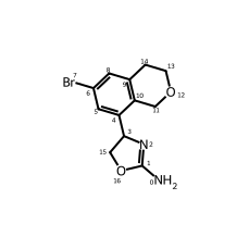 NC1=NC(c2cc(Br)cc3c2COCC3)CO1